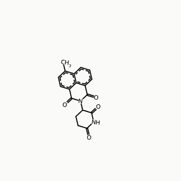 Cc1ccc2c3c(cccc13)C(=O)N(C1CCC(=O)NC1=O)C2=O